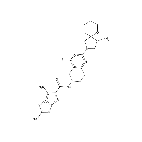 Cc1nc2sc(C(=O)NC3CCc4nc(N5CC(N)C6(CCCCO6)C5)cc(F)c4C3)c(N)c2s1